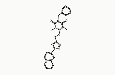 Cc1c(SCc2nnc(-c3ccc4ccccc4c3)o2)n(C)c(=O)n(Cc2ccccc2)c1=O